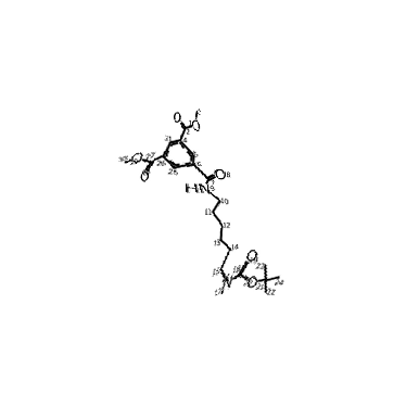 COC(=O)c1cc(C(=O)NCCCCCCN(C)C(=O)OC(C)(C)C)cc(C(=O)OC)c1